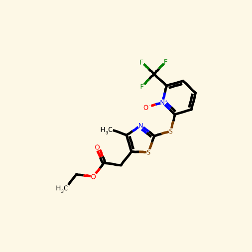 CCOC(=O)Cc1sc(Sc2cccc(C(F)(F)F)[n+]2[O-])nc1C